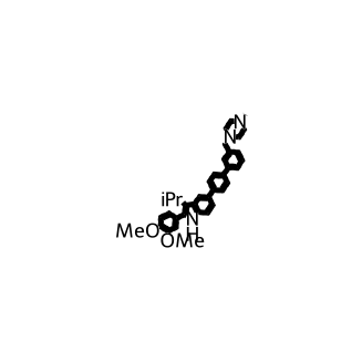 COc1ccc(-c2[nH]c3ccc(-c4ccc(-c5cccc(CN6CCN(C)CC6)c5)cc4)cc3c2C(C)C)cc1OC